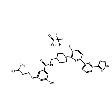 COc1cc(OCCN(C)C)cc(C(=O)NCC2CCN(c3nc(-c4cccc(-c5cc[nH]n5)c4)ncc3F)CC2)c1.O=C(O)C(F)(F)F